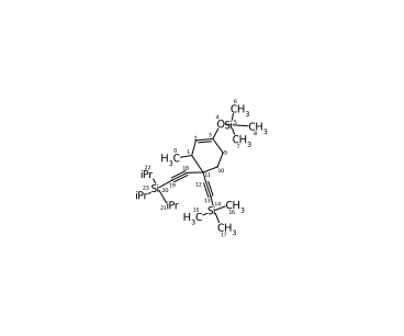 CC1C=C(O[Si](C)(C)C)CCC1(C#C[Si](C)(C)C)C#C[Si](C(C)C)(C(C)C)C(C)C